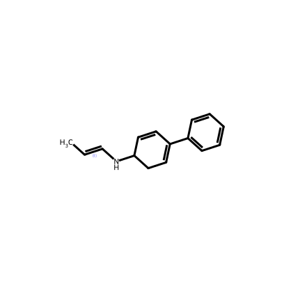 C/C=C/NC1C=CC(c2ccccc2)=CC1